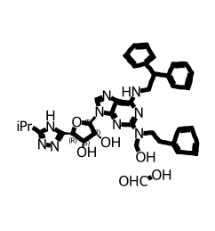 CC(C)c1nnc([C@H]2O[C@@H](n3cnc4c(NCC(c5ccccc5)c5ccccc5)nc(N(CO)CCc5ccccc5)nc43)[C@H](O)[C@@H]2O)[nH]1.O=CO